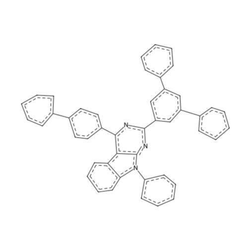 c1ccc(-c2ccc(-c3nc(-c4cc(-c5ccccc5)cc(-c5ccccc5)c4)nc4c3c3ccccc3n4-c3ccccc3)cc2)cc1